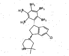 Bc1c(B)c(B)c([C@H]2C[C@H](N3CCNC(C)(C)C3)c3cc(Cl)ccc32)c(B)c1B